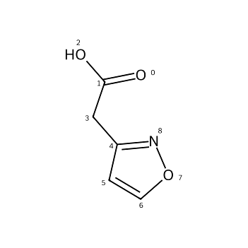 O=C(O)Cc1ccon1